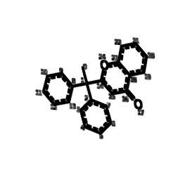 CC(c1ccccc1)(c1ccccc1)c1cc(=O)c2ccccc2o1